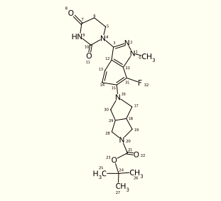 Cn1nc(N2CCC(=O)NC2=O)c2ccc(N3CC4CN(C(=O)OC(C)(C)C)CC4C3)c(F)c21